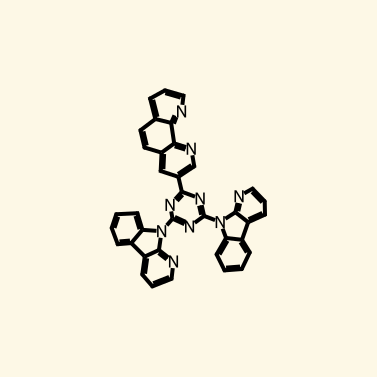 c1cnc2c(c1)ccc1cc(-c3nc(-n4c5ccccc5c5cccnc54)nc(-n4c5ccccc5c5cccnc54)n3)cnc12